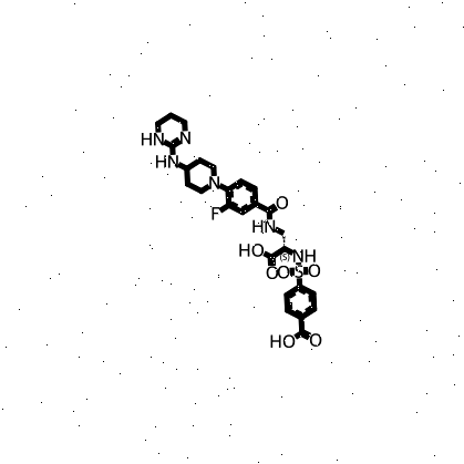 O=C(O)c1ccc(S(=O)(=O)N[C@@H](CNC(=O)c2ccc(N3CCC(NC4=NCCCN4)CC3)c(F)c2)C(=O)O)cc1